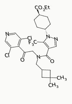 CCOC(=O)[C@H]1CC[C@H](n2ncc(C(=O)N(CC(=O)c3c(Cl)cncc3Cl)CC3CC(C)(C)C3)c2C(F)(F)F)CC1